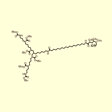 CC(=O)OC[C@@H](OC(C)=O)[C@H](OC(C)=O)[C@H](OC(C)=O)[C@H](OC(C)=O)C(=O)NCCCCCCCCCCCCCCCCCC(=O)NCCCCCCC(CN(CCCCN(CCCNC(=O)OC(C)(C)C)C(=O)OC(C)(C)C)C(=O)OC(C)(C)C)CN(CCCCN(CCCNC(=O)OC(C)(C)C)C(=O)OC(C)(C)C)C(=O)OC(C)(C)C